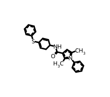 Cc1cc(C(=O)NC2C=CC(Sc3ccccc3)=CC2)c(C)n1-c1ccccc1